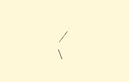 B.F[B]F